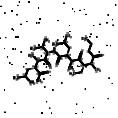 CCCC(=O)N(C)[C@H](CC)C(=O)N(C)[C@@H](CC(C)C)C(=O)N[C@H](C(=O)N(C)[C@@H](CC(C)C)C(N)=O)C(C)C